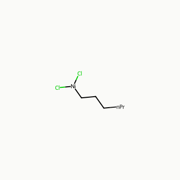 CCCCC[CH2][Ni]([Cl])[Cl]